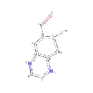 O=Cc1cc2nccnc2cc1F